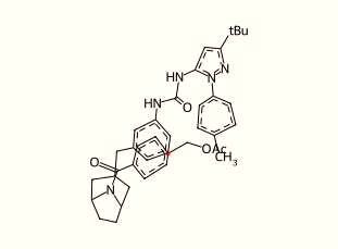 CC(=O)OCc1ccc(C(=O)N2C3CCC2CC(Cc2cccc(NC(=O)Nc4cc(C(C)(C)C)nn4-c4ccc(C)cc4)c2)C3)cc1